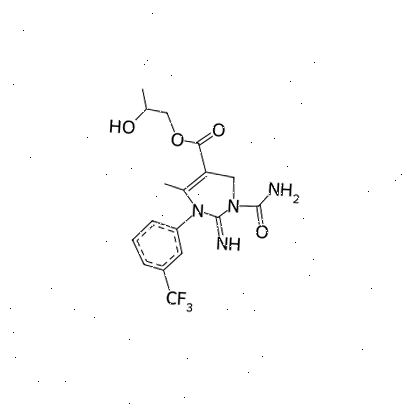 CC1=C(C(=O)OCC(C)O)CN(C(N)=O)C(=N)N1c1cccc(C(F)(F)F)c1